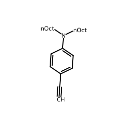 C#Cc1ccc(N(CCCCCCCC)CCCCCCCC)cc1